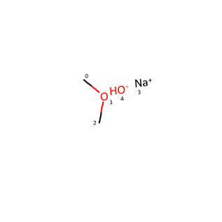 COC.[Na+].[OH-]